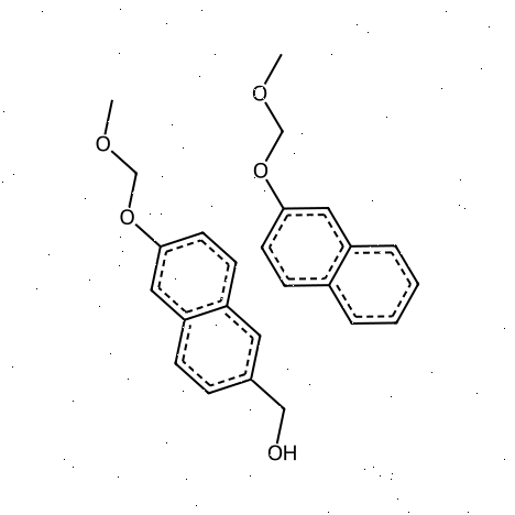 COCOc1ccc2cc(CO)ccc2c1.COCOc1ccc2ccccc2c1